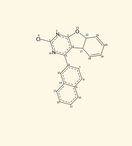 Clc1nc2c(c(-c3ccc4ccccc4c3)n1)C1C=CC=CC1O2